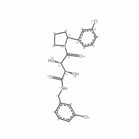 O=C(NCc1cccc(Cl)c1)[C@H](O)[C@@H](O)C(=O)N1CCCC1c1cccc(Cl)c1